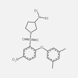 CCN(CC)C1CCN(S(=O)(=O)c2cc([N+](=O)[O-])ccc2Oc2cc(C)cc(C)c2)C1